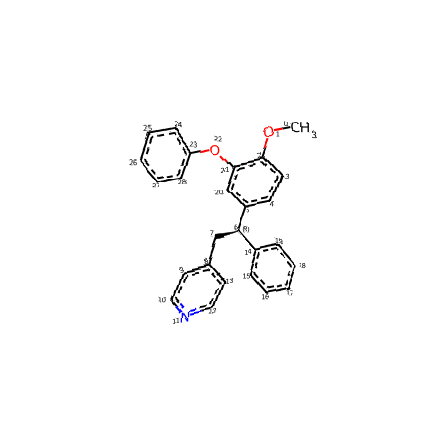 COc1ccc([C@H](Cc2ccncc2)c2ccccc2)cc1Oc1ccccc1